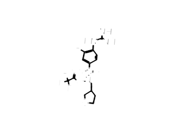 N=C(N)Nc1ccc(S(=O)(=O)N(CC2CCOC2)OC(=O)C(F)(F)F)cc1F